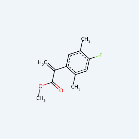 C=C(C(=O)OC)c1cc(C)c(F)cc1C